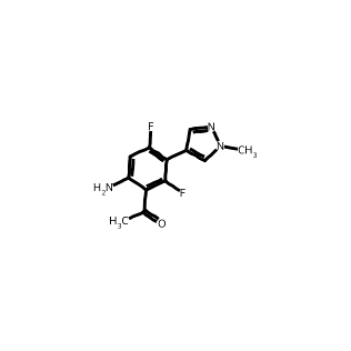 CC(=O)c1c(N)cc(F)c(-c2cnn(C)c2)c1F